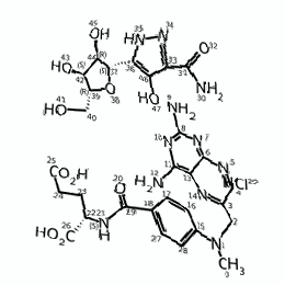 CN(Cc1cnc2nc(N)nc(N)c2n1)c1ccc(C(=O)N[C@@H](CCC(=O)O)C(=O)O)cc1.Cl.NC(=O)c1n[nH]c([C@@H]2O[C@H](CO)[C@@H](O)[C@H]2O)c1O